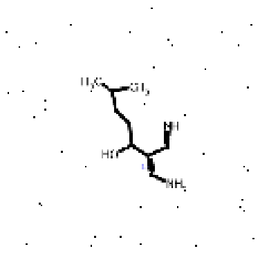 CC(C)CCC(O)/C(C=N)=C/N